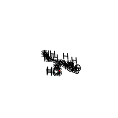 COC(=O)N[C@H](C(=O)N1CCC[C@H]1c1ncc(-c2ccc(C#CC#Cc3cnc([C@@H]4CCCN4)[nH]3)c(-c3ccccc3)c2)[nH]1)C(C)C.Cl.Cl.Cl